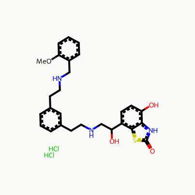 COc1ccccc1CNCCc1cccc(CCNCC(O)c2ccc(O)c3[nH]c(=O)sc23)c1.Cl.Cl